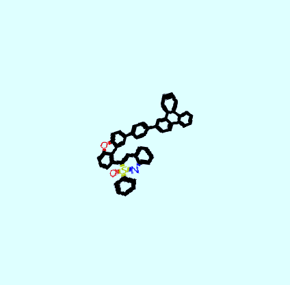 O=S1(c2ccccc2)=Nc2ccccc2C=C1c1cccc2oc3ccc(-c4ccc(-c5ccc6c7ccccc7c7ccccc7c6c5)cc4)cc3c12